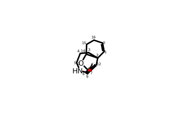 C1=CC23CCCNc4cccc(c42)OC3CC1